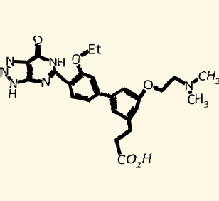 CCOc1cc(-c2cc(CCC(=O)O)cc(OCCN(C)C)c2)ccc1-c1nc2[nH]nnc2c(=O)[nH]1